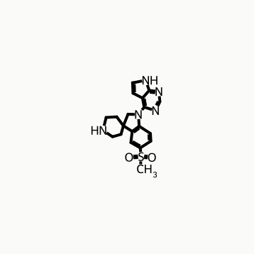 CS(=O)(=O)c1ccc2c(c1)C1(CCNCC1)CN2c1ncnc2[nH]ccc12